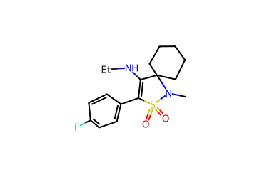 CCNC1=C(c2ccc(F)cc2)S(=O)(=O)N(C)C12CCCCC2